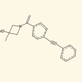 C=C(c1ccc(C#Cc2ccccc2)cc1)N1CC(C)(O)C1